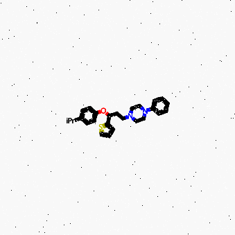 CC(C)c1ccc(OC(CCN2CCN(c3ccccc3)CC2)c2cccs2)cc1